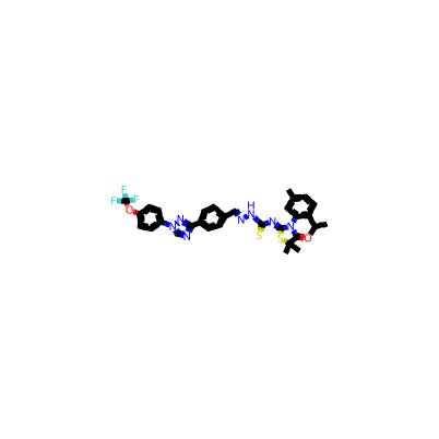 Cc1ccc(C(C)C)c(N2C(=O)C(C)(C)S/C2=N\C(=S)N/N=C/c2ccc(-c3ncn(-c4ccc(OC(F)(F)F)cc4)n3)cc2)c1